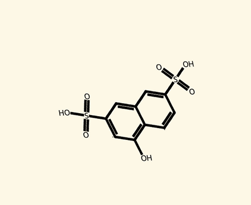 O=S(=O)(O)c1[c]c(O)c2[c]cc(S(=O)(=O)O)cc2c1